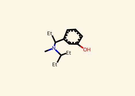 CCC(CC)N(C)C(CC)c1cccc(O)c1